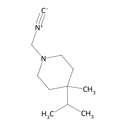 [C-]#[N+]CN1CCC(C)(C(C)C)CC1